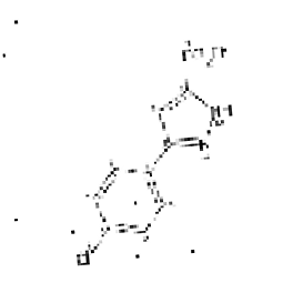 CCOC(=O)c1cc(-c2ccc(Cl)cc2)n[nH]1